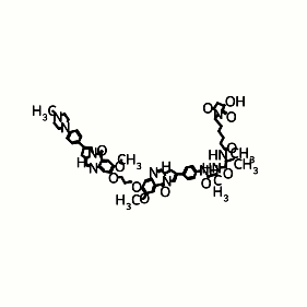 COc1cc2c(cc1OCCCOc1cc3c(cc1OC)C(=O)N1C=C(c4ccc(N5CCN(C)CC5)cc4)C[C@H]1C=N3)N=C[C@@H]1CC(c3ccc(NC(=O)[C@H](C)NC(=O)C(NC(=O)CCCCCN4C(=O)CC(O)C4=O)C(C)C)cc3)=CN1C2=O